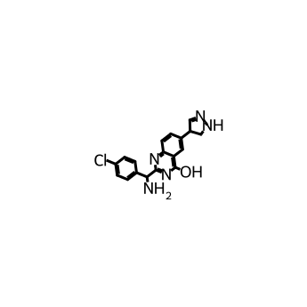 NC(c1ccc(Cl)cc1)c1nc(O)c2cc(C3C=NNC3)ccc2n1